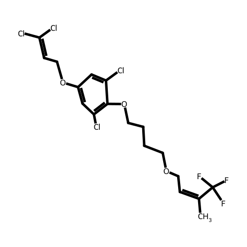 CC(=CCOCCCCOc1c(Cl)cc(OCC=C(Cl)Cl)cc1Cl)C(F)(F)F